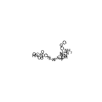 Nc1ncnc2c1c(-c1ccc(Oc3ccccc3)cc1)nn2[C@]1(O)CCN(C2CN(CC3CN(c4ccc5c(c4)C(=O)N(C4CCC(=O)NC4=O)C5=O)C3)C2)C[C@H]1F